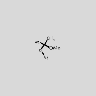 CCOC(C)(C#N)OC